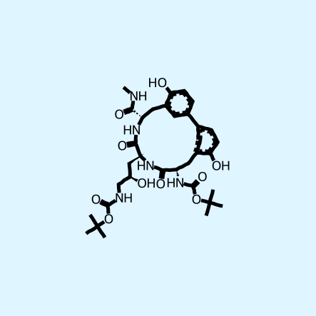 CNC(=O)[C@@H]1Cc2cc(ccc2O)-c2ccc(O)c(c2)C[C@H](NC(=O)OC(C)(C)C)C(=O)N[C@@H](C[C@@H](O)CNC(=O)OC(C)(C)C)C(=O)N1